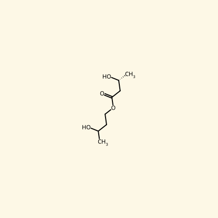 CC(O)CCOC(=O)C[C@@H](C)O